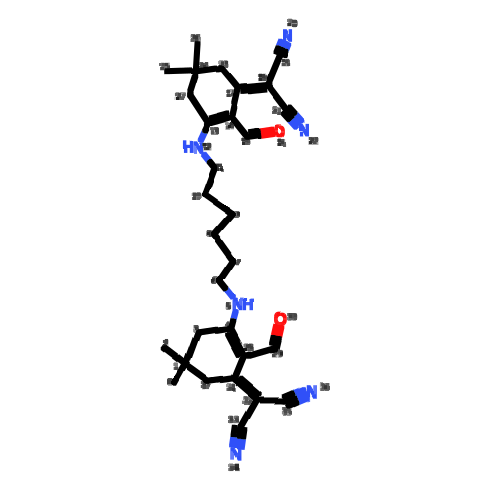 CC1(C)CC(NCCCCCCNC2=C(C=O)C(=C(C#N)C#N)CC(C)(C)C2)=C(C=O)C(=C(C#N)C#N)C1